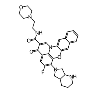 O=C(NCCN1CCOCC1)c1cn2c3c(c(N4CC5CCCNC5C4)c(F)cc3c1=O)Oc1cc3ccccc3cc1-2